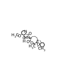 CCO[C@@H]1[C@@H](Cc2ccccc2)CCC[C@H](NC(=O)c2nccc(OC)c2O)C(=O)O[C@H]1C